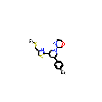 CCSCc1csc(C2CC(c3ccc(CC)cc3)CN(C3COCC[N]3)C2)n1